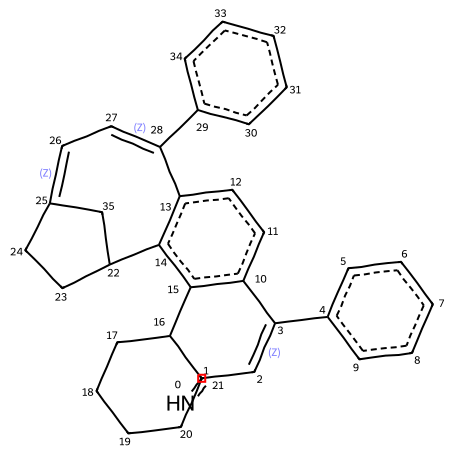 N=C/C=C(/c1ccccc1)c1ccc2c(c1C1CCCCC1)C1CC/C(=C/C=C\2c2ccccc2)C1